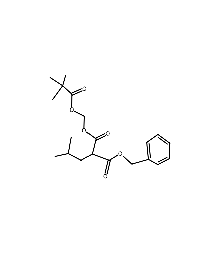 CC(C)CC(C(=O)OCOC(=O)C(C)(C)C)C(=O)OCc1ccccc1